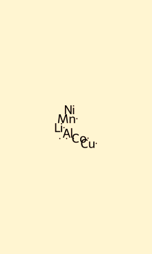 [Al].[Co].[Cu].[Li].[Mn].[Ni]